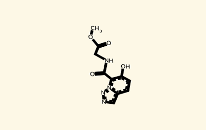 COC(=O)CNC(=O)c1c(O)ccc2cnnn12